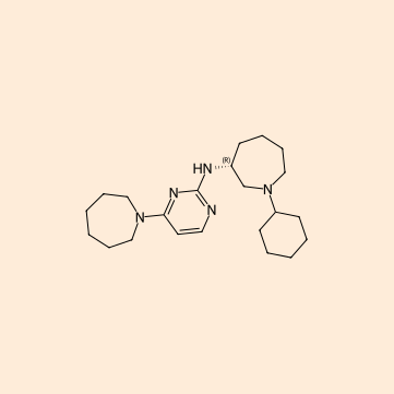 c1cc(N2CCCCCC2)nc(N[C@@H]2CCCCN(C3CCCCC3)C2)n1